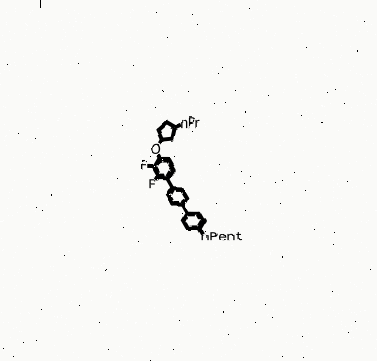 CCCCCc1ccc(-c2ccc(-c3ccc(OC4CCC(CCC)C4)c(F)c3F)cc2)cc1